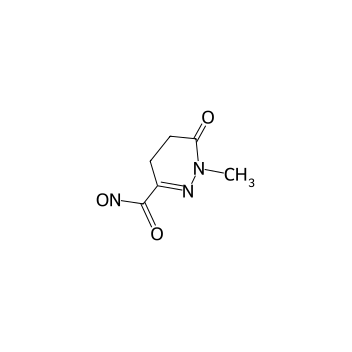 CN1N=C(C(=O)N=O)CCC1=O